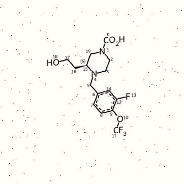 O=C(O)N1CCN(Cc2ccc(OC(F)(F)F)c(F)c2)[C@@H](CCO)C1